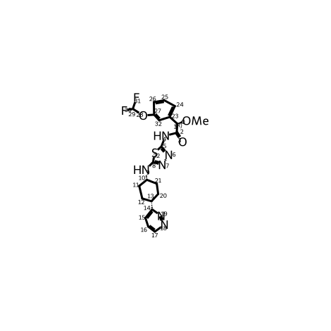 CO[C@@H](C(=O)Nc1nnc(N[C@H]2CC[C@@H](c3cccnn3)CC2)s1)c1cccc(OC(F)F)c1